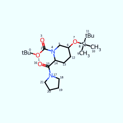 CC(C)(C)OC(=O)N1CC(O[Si](C)(C)C(C)(C)C)CCC1C(=O)N1CCCC1